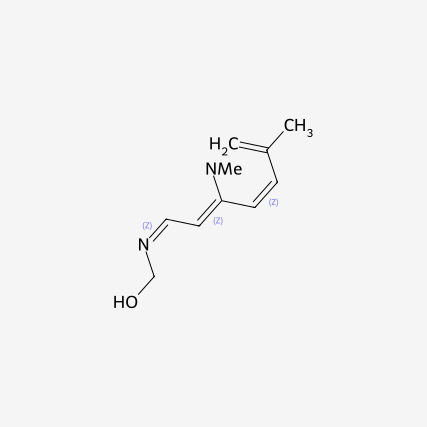 C=C(C)\C=C/C(=C/C=N\CO)NC